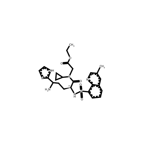 CCOC(=O)CN(C(=O)[C@H](CCC(N)c1ncc[nH]1)NS(=O)(=O)c1cccc2cc(C)cnc12)C1CC1